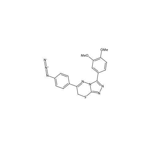 COc1ccc(-c2nnc3n2N=C(c2ccc(N=[N+]=[N-])cc2)CS3)cc1OC